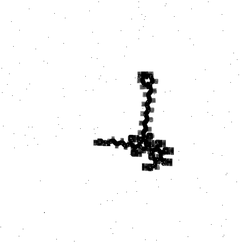 CCCCCCCCCCCCCC[C@@H](O)[C@@H](O)[C@H](COC1OC(CO)C(O)C(O)C1O)N=S(C)(=O)CCCCCCCCCCN1CCNCC1